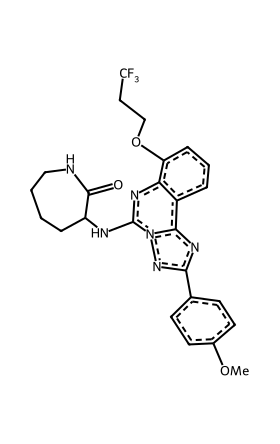 COc1ccc(-c2nc3c4cccc(OCCC(F)(F)F)c4nc(NC4CCCCNC4=O)n3n2)cc1